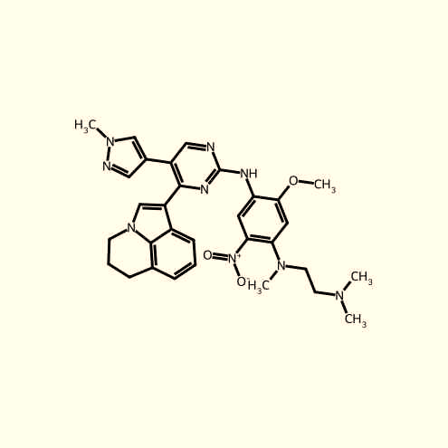 COc1cc(N(C)CCN(C)C)c([N+](=O)[O-])cc1Nc1ncc(-c2cnn(C)c2)c(-c2cn3c4c(cccc24)CCC3)n1